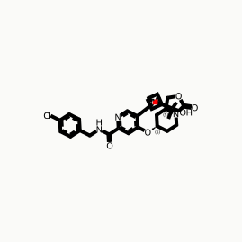 CC(C)(O)C12CC(C1)N(c1cnc(C(=O)NCc3ccc(Cl)cc3)cc1O[C@H]1CCN3C(=O)OC[C@@H]3C1)C2